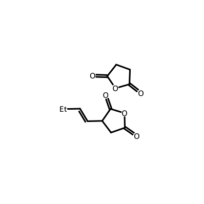 CCC=CC1CC(=O)OC1=O.O=C1CCC(=O)O1